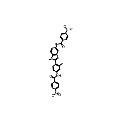 Cc1cc(NC(=O)c2ccc([N+](=O)[O-])cc2)ccc1-c1nc2cc(NC(=O)c3ccc([N+](=O)[O-])cc3)ccc2n1C